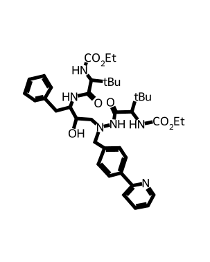 CCOC(=O)NC(C(=O)NC(Cc1ccccc1)C(O)CN(Cc1ccc(-c2ccccn2)cc1)NC(=O)C(NC(=O)OCC)C(C)(C)C)C(C)(C)C